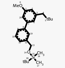 COc1cc(CC(C)(C)C)cc(-c2cccc(CO[Si](C)(C)C(C)(C)C)c2)c1